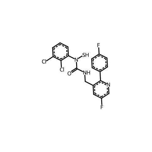 O=C(NCc1cc(F)cnc1-c1ccc(F)cc1)N(S)c1cccc(Cl)c1Cl